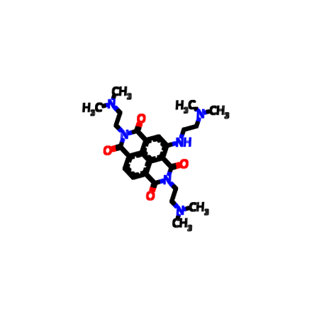 CN(C)CCNc1cc2c3c(ccc4c3c1C(=O)N(CCN(C)C)C4=O)C(=O)N(CCN(C)C)C2=O